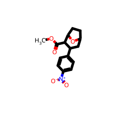 COC(=O)C1C2CCC(CC1c1ccc([N+](=O)[O-])cc1)O2